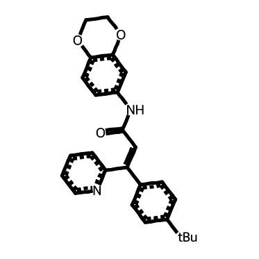 CC(C)(C)c1ccc(C(=CC(=O)Nc2ccc3c(c2)OCCO3)c2ccccn2)cc1